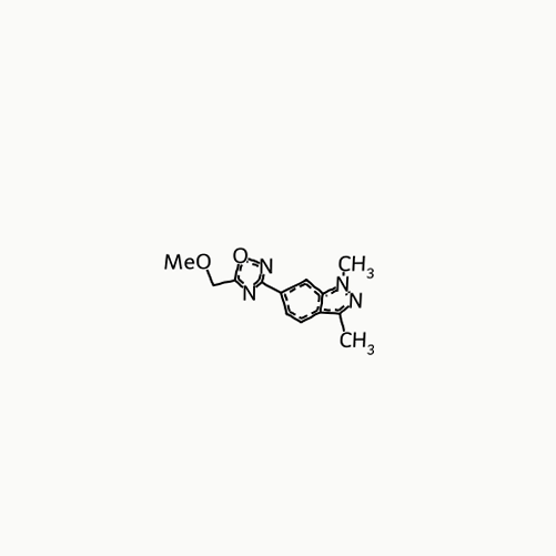 COCc1nc(-c2ccc3c(C)nn(C)c3c2)no1